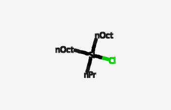 CCCCCCCC[Si](Cl)(CCC)CCCCCCCC